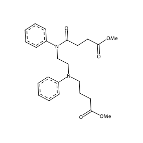 COC(=O)CCCN(CCN(C(=O)CCC(=O)OC)c1ccccc1)c1ccccc1